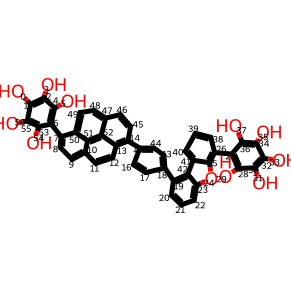 Oc1c(O)c(O)c(-c2ccc3ccc4c(-c5ccc(-c6cccc7oc8c(-c9c(O)c(O)c(O)c(O)c9O)cccc8c67)cc5)ccc5ccc2c3c54)c(O)c1O